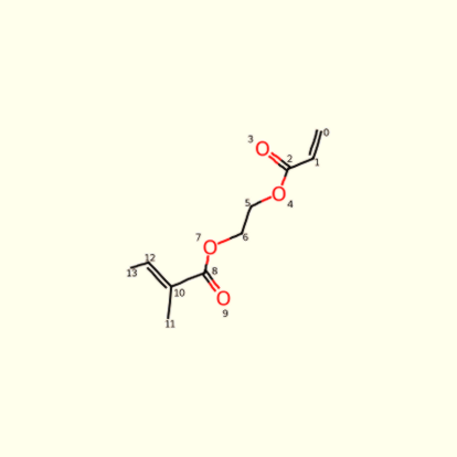 C=CC(=O)OCCOC(=O)C(C)=CC